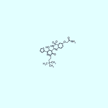 CC(C)(C)CCn1nc(-c2cccs2)c(O)c(C2=Nc3ccc(OCC(N)=O)cc3S(=O)(=O)N2)c1=O